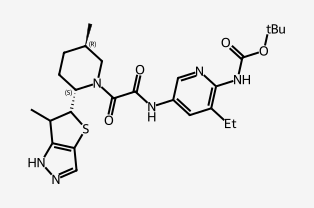 CCc1cc(NC(=O)C(=O)N2C[C@H](C)CC[C@H]2C2Sc3cn[nH]c3C2C)cnc1NC(=O)OC(C)(C)C